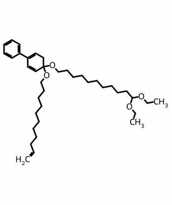 C=CCCCCCCCCCOC1(OCCCCCCCCCCC(OCC)OCC)C=CC(c2ccccc2)=CC1